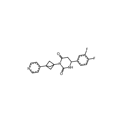 O=C1CC(c2ccc(F)c(F)c2)NC(=O)N1C12CC(c3ccncc3)(C1)C2